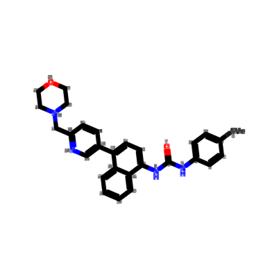 CSc1ccc(NC(=O)Nc2ccc(-c3ccc(CN4CCOCC4)nc3)c3ccccc23)cc1